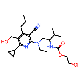 CCCc1c(C#N)c(N(CC)C[C@H](NC(=O)OCCO)C(C)C)nc(C2CC2)c1CO